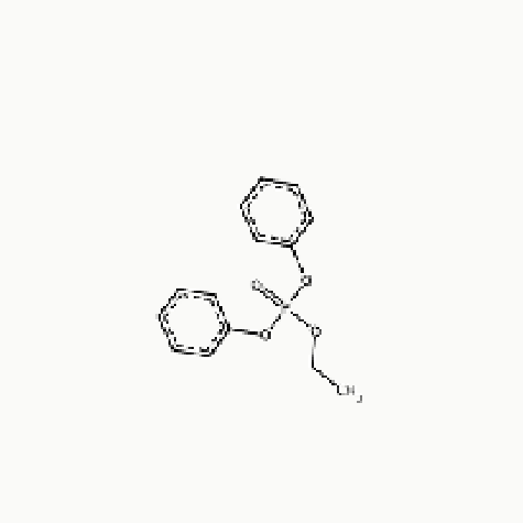 CCOP(=O)(Oc1ccccc1)Oc1ccccc1